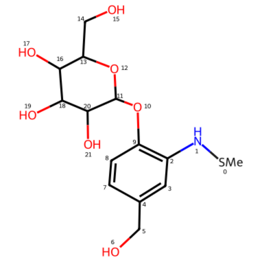 CSNc1cc(CO)ccc1OC1OC(CO)C(O)C(O)C1O